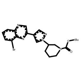 CC(C)(C)OC(=O)N1CCCC(n2cc(-c3cnc4cccc(Br)c4n3)cn2)C1